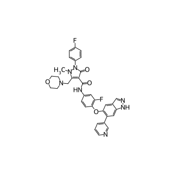 Cn1c(CN2CCOCC2)c(C(=O)Nc2ccc(Oc3cc4cn[nH]c4cc3-c3cccnc3)c(F)c2)c(=O)n1-c1ccc(F)cc1